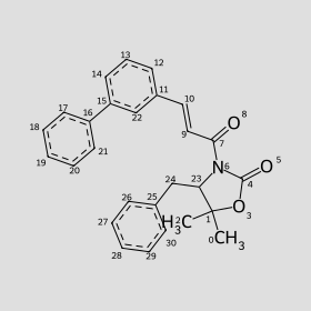 CC1(C)OC(=O)N(C(=O)C=Cc2cccc(-c3ccccc3)c2)C1Cc1ccccc1